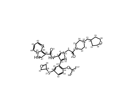 O=C(Nc1cn(CC(=O)N2CCN(CC3CCOCC3)CC2)nc1-c1cc(SC2COC2)ccc1OC(F)F)C1=C2N=CC=CN2NC1